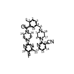 Cc1ccc(CN2CCN(c3ncccc3C#N)CC2)cc1C(=O)N1CCN(c2ncc(F)c(C)n2)CC1